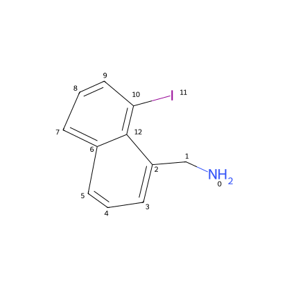 NCc1cccc2cccc(I)c12